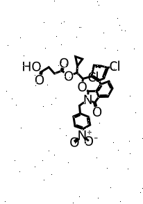 O=C(O)CCC(=O)OC(C1CC1)C(OC1c2c(Cl)cccc2C(=O)N1Cc1ccc([N+](=O)[O-])cc1)c1ccc(Cl)cc1